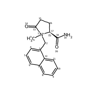 C[N+]1(Cc2cccc3ccccc23)C(=O)CC[C@H]1C(N)=O